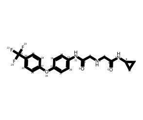 O=C(CNCC(=O)NC1CC1)Nc1ccc(Oc2ccc(C(F)(F)F)cc2)cc1